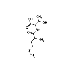 CSCCC(N)C(=O)NC(C(=O)O)C(C)O